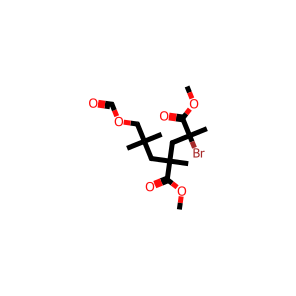 COC(=O)C(C)(Br)CC(C)(CC(C)(C)COC=O)C(=O)OC